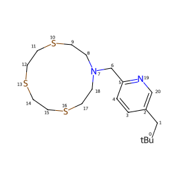 CC(C)(C)Cc1ccc(CN2CCSCCSCCSCC2)nc1